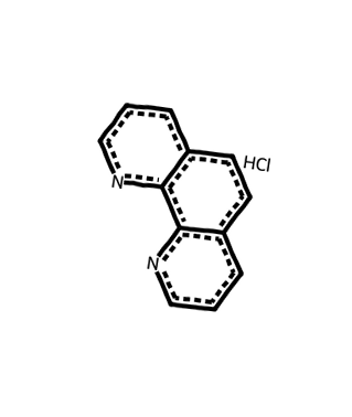 Cl.c1cnc2c(c1)ccc1cccnc12